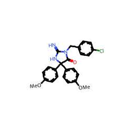 COc1ccc(C2(c3ccc(OC)cc3)NC(=N)N(Cc3ccc(Cl)cc3)C2=O)cc1